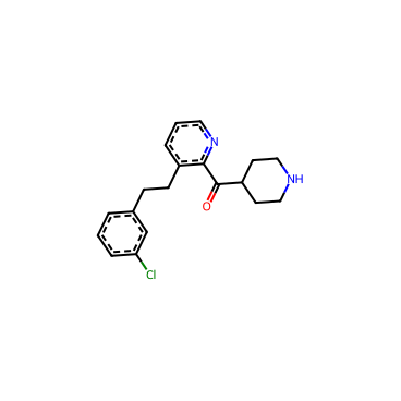 O=C(c1ncccc1CCc1cccc(Cl)c1)C1CCNCC1